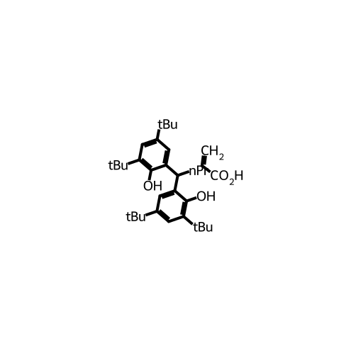 C=CC(=O)O.CCCC(c1cc(C(C)(C)C)cc(C(C)(C)C)c1O)c1cc(C(C)(C)C)cc(C(C)(C)C)c1O